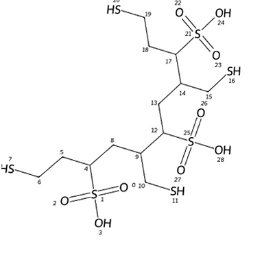 O=S(=O)(O)C(CCS)CC(CS)C(CC(CS)C(CCS)S(=O)(=O)O)S(=O)(=O)O